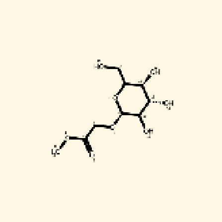 COC(=O)CO[C@H]1OC(CO)[C@@H](O)[C@H](O)C1O